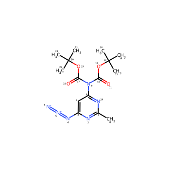 Cc1nc(N=[N+]=[N-])cc(N(C(=O)OC(C)(C)C)C(=O)OC(C)(C)C)n1